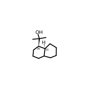 CC(C)(O)[C@@H]1CCCC2CCCC[C@@H]21